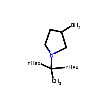 BC1CCN(C(C)(CCCCCC)CCCCCC)C1